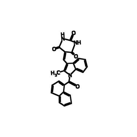 Cc1c(C=C2C(=O)NC(=O)NC2=O)c2ccccc2n1C(=O)c1cccc2ccccc12